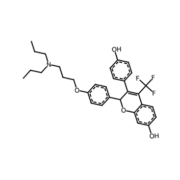 CCCN(CCC)CCCOc1ccc(C2Oc3cc(O)ccc3C(C(F)(F)F)=C2c2ccc(O)cc2)cc1